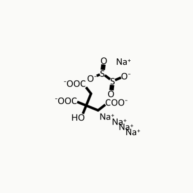 O=C([O-])CC(O)(CC(=O)[O-])C(=O)[O-].O=S([O-])S(=O)[O-].[Na+].[Na+].[Na+].[Na+].[Na+]